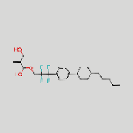 C=C(CO)C(O)OCC(F)(F)C(F)(F)c1ccc(C2CCC(CCCCC)CC2)cc1